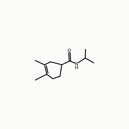 CC1=C(C)CC(C(=O)NC(C)C)CC1